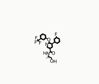 C[C@@H](CO)NC(=O)c1cnc(Oc2cccc(C(F)(F)F)c2)c(-c2cccc(F)c2)c1